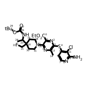 CCOC(=O)c1nc(Sc2ccnc(N)c2Cl)c(C)nc1N1CCC(CF)(C(C)NC(=O)OC(C)(C)C)CC1